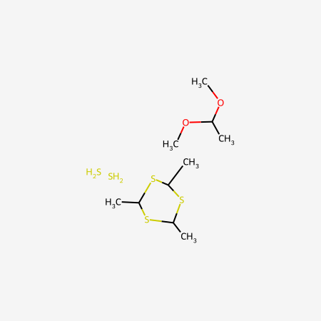 CC1SC(C)SC(C)S1.COC(C)OC.S.S